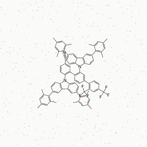 Cc1cc(C)c(-c2ccc3c(c2)c2cc(-c4c(C)cc(C)cc4C)ccc2n3-c2ccc(C#N)cc2-c2ccc(-c3ccc(C(F)(F)F)cc3C(F)(F)F)cc2-n2c3ccc(-c4c(C)cc(C)cc4C)cc3c3cc(-c4c(C)cc(C)cc4C)ccc32)c(C)c1